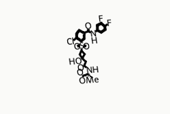 COC(=O)[C@H](C)NC(=O)CC1(O)CC(S(=O)(=O)c2cc(C(=O)Nc3ccc(F)c(F)c3)ccc2Cl)C1